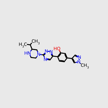 CC(C)C1CN(c2ncc(-c3ccc(-c4cnn(C)c4)cc3O)nn2)CCN1